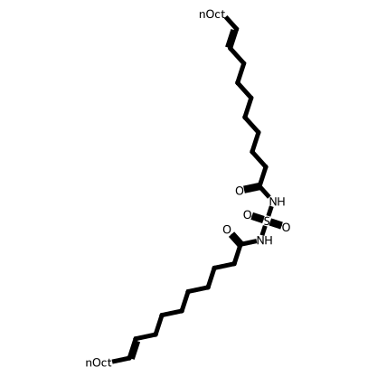 CCCCCCCCC=CCCCCCCCC(=O)NS(=O)(=O)NC(=O)CCCCCCCC=CCCCCCCCC